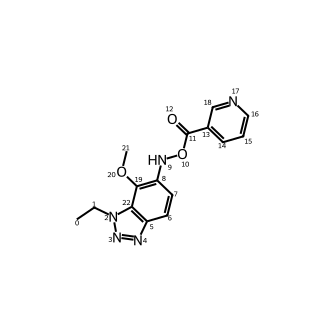 CCn1nnc2ccc(NOC(=O)c3cccnc3)c(OC)c21